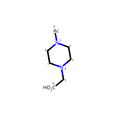 [CH2]C(=O)N1CCN(CC(=O)O)CC1